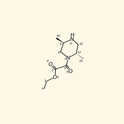 CCOC(=O)C(=O)N1C[C@@H](C)NC[C@@H]1C